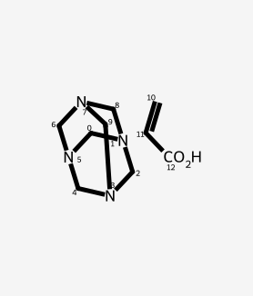 C1N2CN3CN1CN(C2)C3.C=CC(=O)O